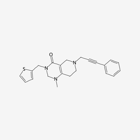 CN1CN(Cc2cccs2)C(=O)C2=C1CCN(CC#Cc1ccccc1)C2